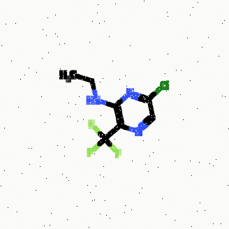 CCNc1nc(Cl)cnc1C(F)(F)F